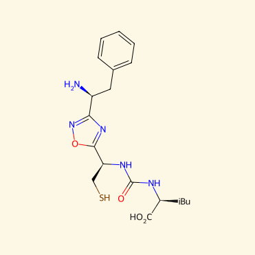 CCC(C)[C@H](NC(=O)N[C@@H](CS)c1nc([C@@H](N)Cc2ccccc2)no1)C(=O)O